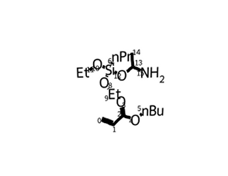 C=CC(=O)OCCCC.CCC[Si](OCC)(OCC)OC(C)N